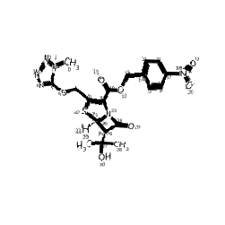 Cn1nnnc1SCC1=C(C(=O)OCc2ccc([N+](=O)[O-])cc2)N2C(=O)[C@@H](C(C)(C)O)[C@H]2S1